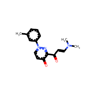 Cc1cccc(-n2ccc(=O)c(C(=O)/C=C/N(C)C)n2)c1